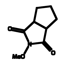 CON1C(=O)C2CCCC2C1=O